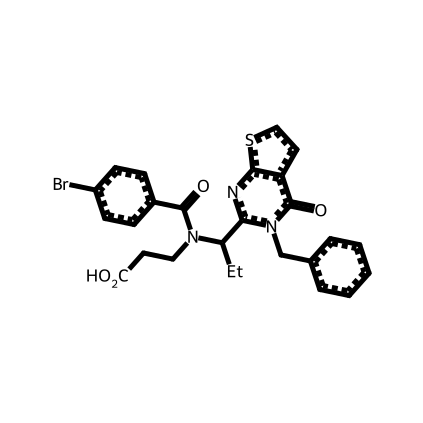 CCC(c1nc2sccc2c(=O)n1Cc1ccccc1)N(CCC(=O)O)C(=O)c1ccc(Br)cc1